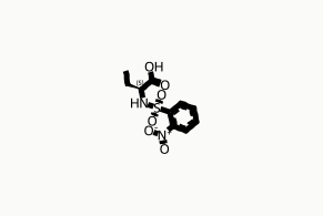 CC[C@H](NS(=O)(=O)c1ccccc1[N+](=O)[O-])C(=O)O